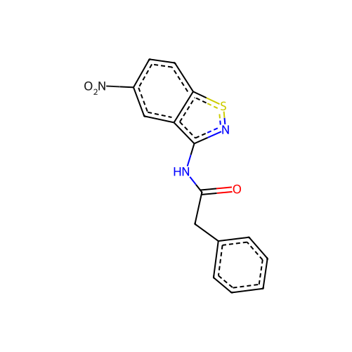 O=C(Cc1ccccc1)Nc1nsc2ccc([N+](=O)[O-])cc12